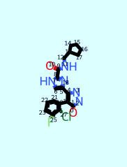 O=C1N=NC(c2c[nH]c(C(=O)NCC3CCCC3)n2)=C1c1cccc(F)c1Cl